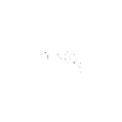 CCC1(OC(=O)C2C3CC4C(OC(C)(OC)C42)C3OC(=O)COC(=O)C(C)(I)CC)CCCC1